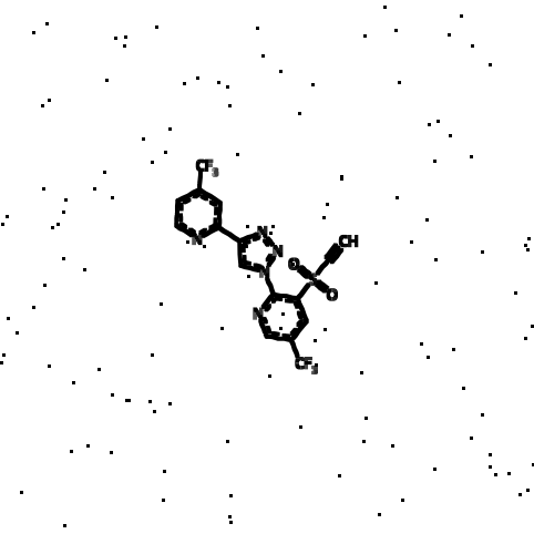 C#CS(=O)(=O)c1cc(C(F)(F)F)cnc1-n1cc(-c2cc(C(F)(F)F)ccn2)nn1